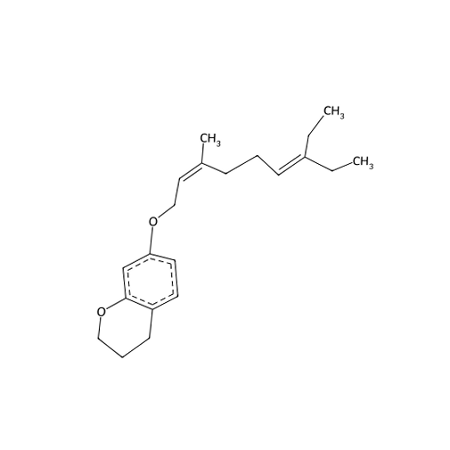 CCC(=CCCC(C)=CCOc1ccc2c(c1)OCCC2)CC